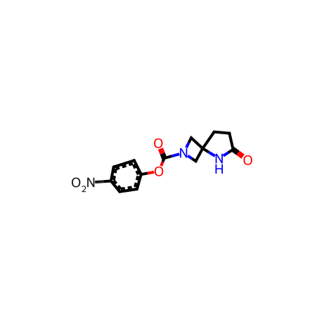 O=C1CCC2(CN(C(=O)Oc3ccc([N+](=O)[O-])cc3)C2)N1